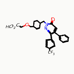 O=C(O)COCC1CCC(Cn2nc(-c3ccc(C(F)(F)F)cc3)c(-c3ccccc3)cc2=O)CC1